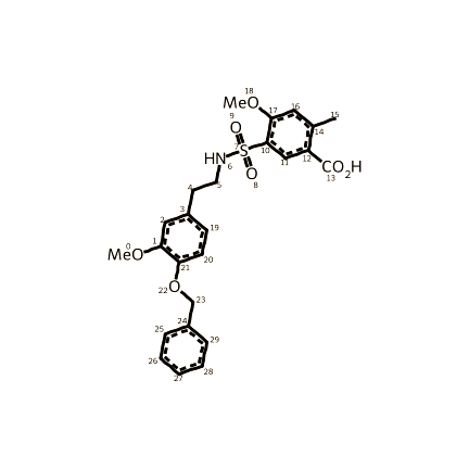 COc1cc(CCNS(=O)(=O)c2cc(C(=O)O)c(C)cc2OC)ccc1OCc1ccccc1